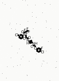 O=C(COc1ccc(Cl)c(F)c1)NC12CC(NC(=O)C3CN(C(=O)C(F)(F)C(F)F)c4cc(Cl)ccc4O3)(C1)C2